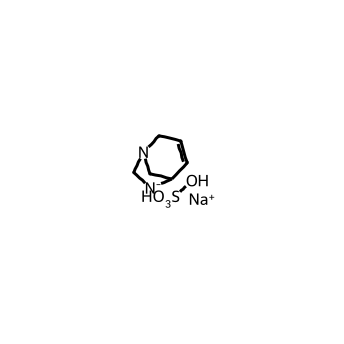 C1=CC2CN(C1)C[N-]2.O=S(=O)(O)O.[Na+]